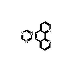 c1cnc2c(c1)ccc1cccnc12.c1ncncn1